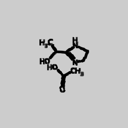 CC(=O)O.CC(O)C1=NCCN1